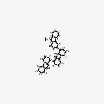 c1ccc2c(c1)[nH]c1ccc(-c3cccc4c3oc3c(-c5cccc6c5sc5ccccc56)cccc34)cc12